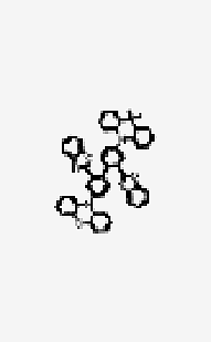 CC1(C)c2ccccc2N(c2ccc(-c3ccc(N4c5ccccc5Oc5ccccc54)cc3-c3nc4ccccc4o3)c(-c3nc4ccccc4o3)c2)c2ccccc21